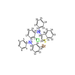 Clc1c(N(c2ccccc2)c2cccc(Br)c2)cccc1N(c1ccccc1)c1csc2ccccc12